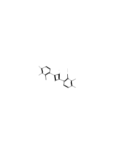 Cc1ccc(C2=C(O)C(c3ccc(C)c(C)c3C)=C2O)c(C)c1C